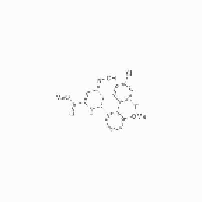 COC(=O)C1=CC(=NO)CC(c2cccc(OC)c2-c2ccc(Cl)cc2F)N1